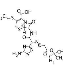 CCSC1=C(C(=O)O)N2C(=O)C(NC(=O)C(=NOCC(=O)OC(C)(C)C)c3nsc(N)n3)[C@@H]2SC1